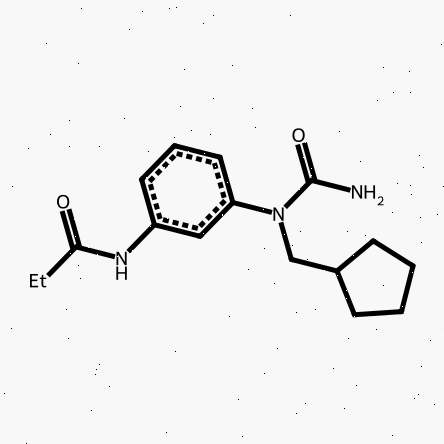 CCC(=O)Nc1cccc(N(CC2CCCC2)C(N)=O)c1